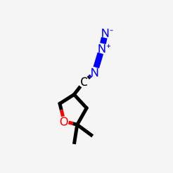 CC1(C)CC(CN=[N+]=[N-])CO1